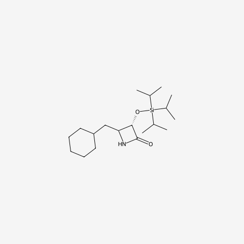 CC(C)[Si](O[C@@H]1C(=O)NC1CC1CCCCC1)(C(C)C)C(C)C